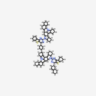 c1ccc2cc(-c3nc(-n4c5ccccc5c5c6c7cc(-c8ccc(-c9nc(-n%10c%11ccccc%11c%11c%12c%13ccccc%13n%13c%14c%15ccccc%15ccc%14c(cc%11%10)c%12%13)nc%10c9sc9ccccc9%10)cc8)ccc7n7c8c9ccccc9ccc8c(cc54)c67)nc4c3sc3ccccc34)ccc2c1